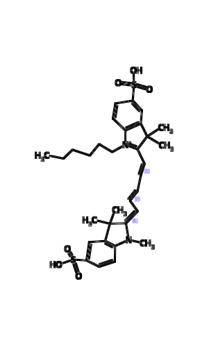 CCCCCC[N+]1=C(/C=C/C=C/C=C2/N(C)c3ccc(S(=O)(=O)O)cc3C2(C)C)C(C)(C)c2cc(S(=O)(=O)O)ccc21